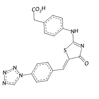 O=C(O)Cc1ccc(NC2=NC(=O)C(=Cc3ccc(-n4cnnn4)cc3)S2)cc1